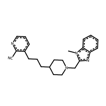 Cn1c(CN2CCC(CCCc3cccnc3C#N)CC2)nc2ccccc21